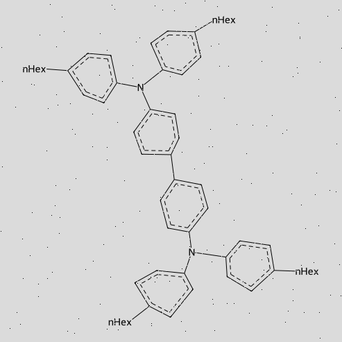 CCCCCCc1ccc(N(c2ccc(CCCCCC)cc2)c2ccc(-c3ccc(N(c4ccc(CCCCCC)cc4)c4ccc(CCCCCC)cc4)cc3)cc2)cc1